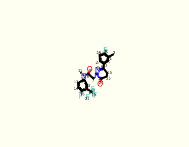 Cc1cc(C2=NN(CC(=O)N(C)c3ccc(F)c(C(F)(F)F)c3)C(=O)CC2)ccc1F